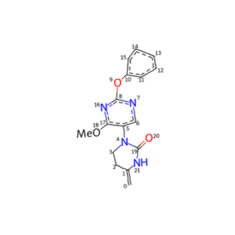 C=C1CCN(c2cnc(Oc3ccccc3)nc2OC)C(=O)N1